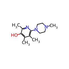 Cc1nc(N2CCN(C)CC2)c(C)c(C)c1O